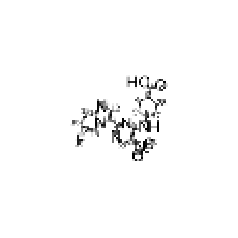 O=C(O)C1CCC(Nc2nc(-c3cnc4ccc(F)cn34)ncc2[N+](=O)[O-])CC1